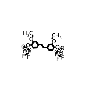 CCOc1cc(C=Cc2ccc(OS(=O)(=O)OC(F)(F)F)c(OCC)c2)ccc1OS(=O)(=O)OC(F)(F)F